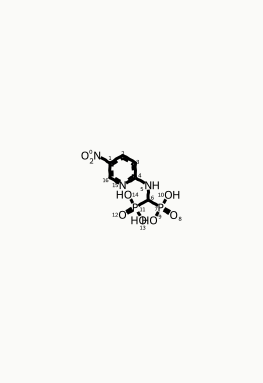 O=[N+]([O-])c1ccc(NC(P(=O)(O)O)P(=O)(O)O)nc1